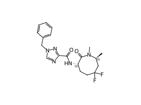 C[C@H]1CC(F)(F)CC[C@H](NC(=O)c2ncn(Cc3ccccc3)n2)C(=O)N1C